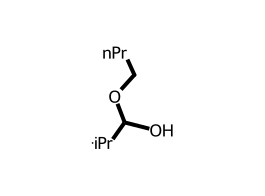 CCCCOC(O)[C](C)C